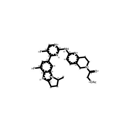 CC(=O)OCC(=O)N1CCc2nc(Nc3ncc(F)c(-c4cc(F)c5nc6n(c5c4)C(C)CC6)n3)ccc2C1